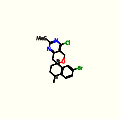 CSc1nc(Cl)c2c(n1)C[C@@]1(CC[C@H](C)c3ccc(Br)cc31)OC2